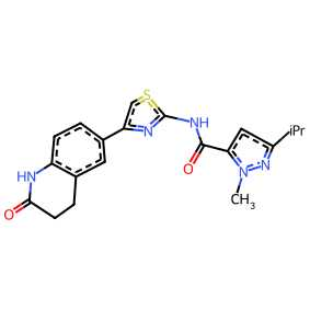 CC(C)c1cc(C(=O)Nc2nc(-c3ccc4c(c3)CCC(=O)N4)cs2)n(C)n1